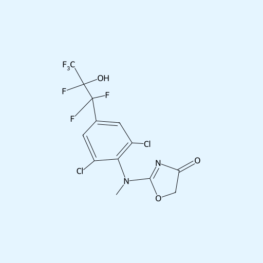 CN(C1=NC(=O)CO1)c1c(Cl)cc(C(F)(F)C(O)(F)C(F)(F)F)cc1Cl